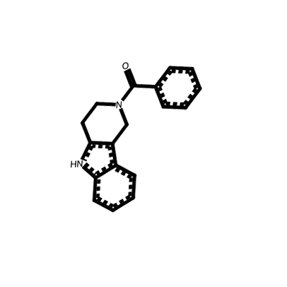 O=C(c1ccccc1)N1CCc2[nH]c3ccccc3c2C1